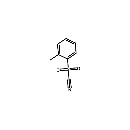 Cc1ccccc1S(=O)(=O)C#N